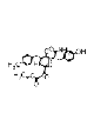 CCOC(=O)C1OC1C(=O)N[C@@H](Cc1ccc(C)cc1)C(=O)N[C@@H](Cc1ccc(O)cc1)C(N)=O